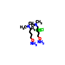 CN(C)CCCCON.CN(C)CCCCON.Cl.Cl